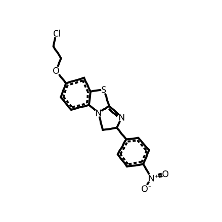 O=[N+]([O-])c1ccc(C2CN3C(=N2)Sc2cc(OCCCl)ccc23)cc1